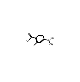 O=C(Cl)c1ccc(B(O)O)cc1F